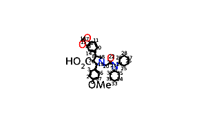 COc1ccc(C2C(C(=O)O)C(c3ccc4c(c3)OCO4)CN2CC(=O)N(C2CCCCC2)C2CCCCC2)cc1